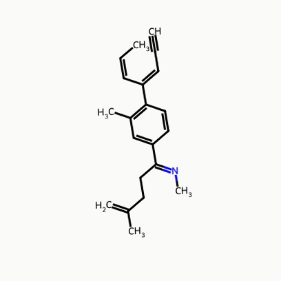 C#C/C=C(\C=C/C)c1ccc(/C(CCC(=C)C)=N/C)cc1C